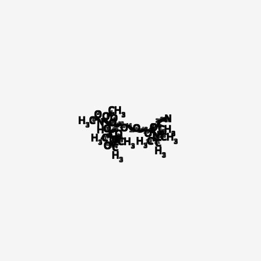 CC(=O)N[C@@H](OC(C)=O)C(OCCOCCOCCOP(OCCC#N)N(C(C)C)C(C)C)OC(COC(C)=O)[C@@H](C)OC(C)=O